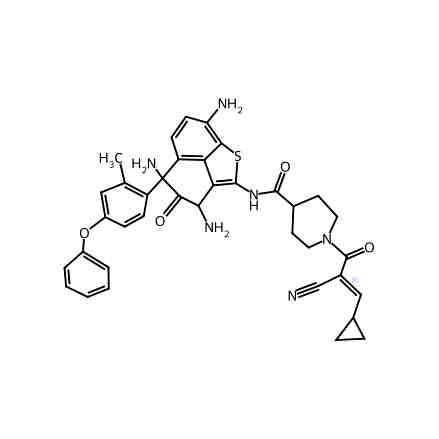 Cc1cc(Oc2ccccc2)ccc1C1(N)C(=O)C(N)c2c(NC(=O)C3CCN(C(=O)/C(C#N)=C/C4CC4)CC3)sc3c(N)ccc1c23